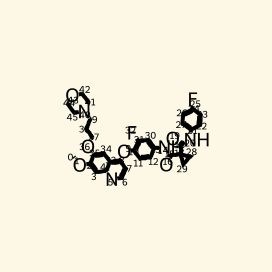 COc1cc2nccc(Oc3ccc(NC(=O)C4(C(=O)Nc5ccc(F)cc5)CC4)cc3F)c2cc1OCCCN1CCOCC1